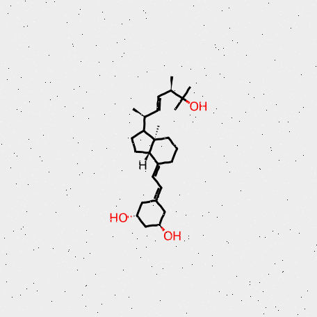 C[C@H](/C=C/[C@H](C)C1CC[C@H]2/C(=C/C=C3C[C@@H](O)C[C@H](O)C3)CCC[C@]12C)C(C)(C)O